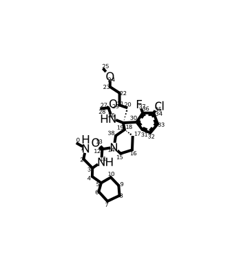 CNCC(CC1CCCCC1)NC(=O)N1CCC[C@@H]([C@@](CCCCOC)(NC(C)=O)c2cccc(Cl)c2F)C1